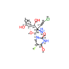 C[C@H](O)[C@H]1O[C@@H](n2cc(F)c(=O)[nH]c2=O)[C@@](N)(C#CCl)C1O